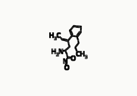 C/C=C(/C[C@H](N)C(=O)N=O)c1ccccc1CCC